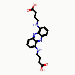 O=C(O)CCCNc1cccc2nc3c(NCCCC(=O)O)cccc3nc12